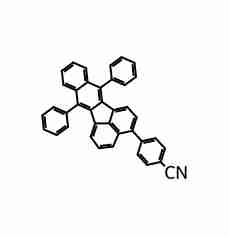 N#Cc1ccc(-c2ccc3c4c(cccc24)-c2c-3c(-c3ccccc3)c3ccccc3c2-c2ccccc2)cc1